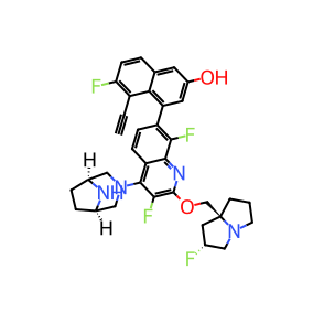 C#Cc1c(F)ccc2cc(O)cc(-c3ccc4c(N5C[C@H]6CC[C@@H](C5)N6)c(F)c(OC[C@@]56CCCN5C[C@H](F)C6)nc4c3F)c12